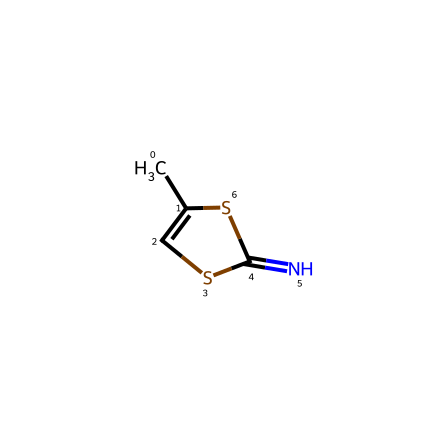 Cc1csc(=N)s1